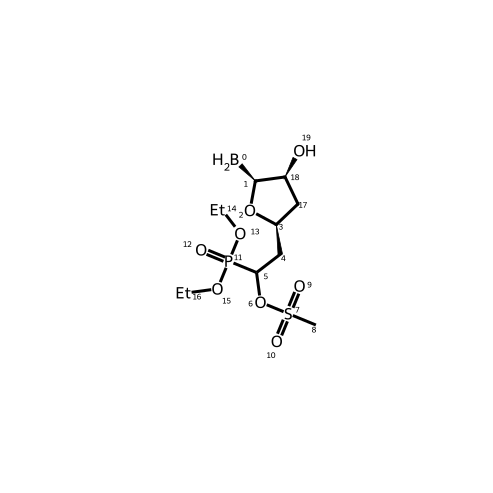 B[C@@H]1O[C@H](CC(OS(C)(=O)=O)P(=O)(OCC)OCC)C[C@@H]1O